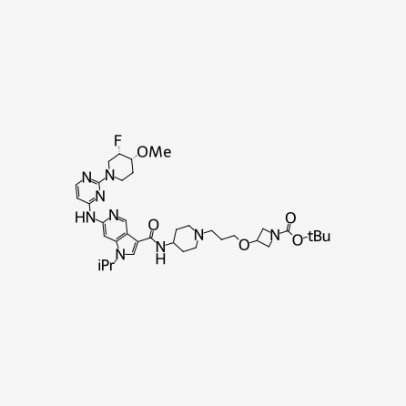 CO[C@@H]1CCN(c2nccc(Nc3cc4c(cn3)c(C(=O)NC3CCN(CCCOC5CN(C(=O)OC(C)(C)C)C5)CC3)cn4C(C)C)n2)C[C@@H]1F